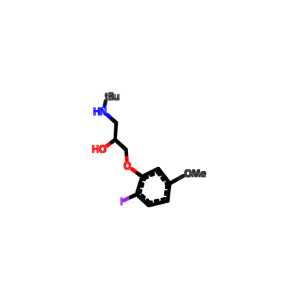 COc1ccc(I)c(OCC(O)CNC(C)(C)C)c1